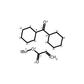 C=CC(=O)OC(C)(C)C.O=C(C1CCCCC1)C1CCCCC1